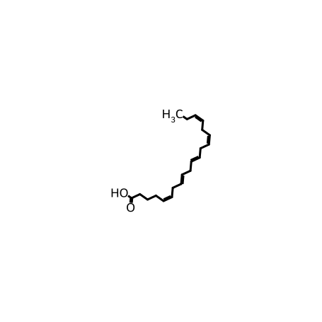 CC/C=C\C/C=C\CC=CC/C=C/C/C=C\CCCC(=O)O